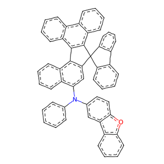 c1ccc(N(c2ccc3oc4ccccc4c3c2)c2cc3c(c4ccccc24)-c2c(c4ccccc4c4ccccc24)C32c3ccccc3-c3ccccc32)cc1